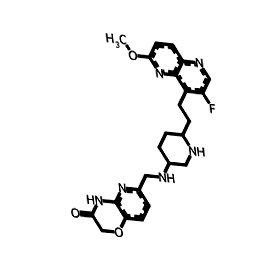 COc1ccc2ncc(F)c(CCC3CCC(NCc4ccc5c(n4)NC(=O)CO5)CN3)c2n1